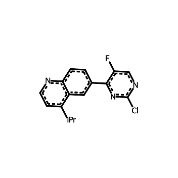 CC(C)c1ccnc2ccc(-c3nc(Cl)ncc3F)cc12